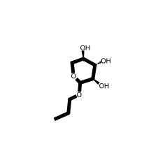 CCCOC1OC[C@@H](O)[C@H](O)[C@H]1O